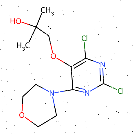 CC(C)(O)COc1c(Cl)nc(Cl)nc1N1CCOCC1